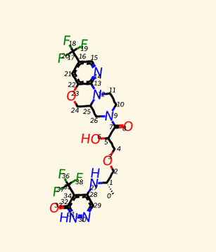 C[C@@H](COCC(O)C(=O)N1CCN2c3ncc(C(F)(F)F)cc3OCC2C1)Nc1cn[nH]c(=O)c1C(F)(F)F